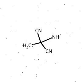 [CH2]C([NH])(C#N)C#N